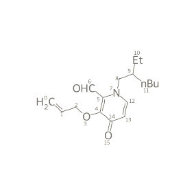 C=CCOc1c(C=O)n(CC(CC)CCCC)ccc1=O